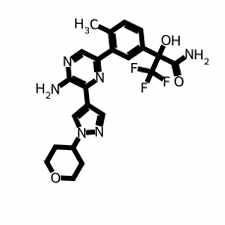 Cc1ccc(C(O)(C(N)=O)C(F)(F)F)cc1-c1cnc(N)c(-c2cnn(C3CCOCC3)c2)n1